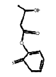 CC(O)CC(=O)OC1=CC=CCC1=S